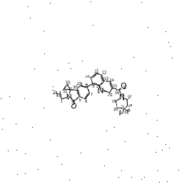 [2H]CN1C(=O)c2ccc(-c3cccc4cc(C(=O)N5CCC(F)(F)CC5)cnc34)cc2C12CC2